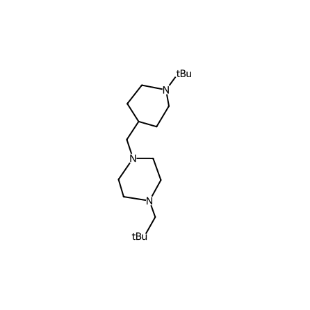 CC(C)(C)CN1CCN(CC2CCN(C(C)(C)C)CC2)CC1